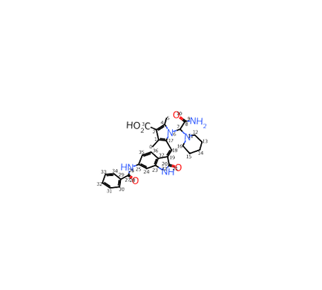 Cc1c(C(=O)O)c(C)n(C(C(N)=O)N2CCCCC2)c1C=C1C(=O)Nc2cc(NC(=O)c3ccccc3)ccc21